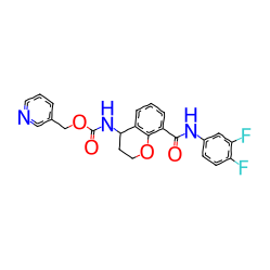 O=C(NC1CCOc2c(C(=O)Nc3ccc(F)c(F)c3)cccc21)OCc1cccnc1